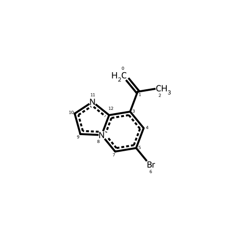 C=C(C)c1cc(Br)cn2ccnc12